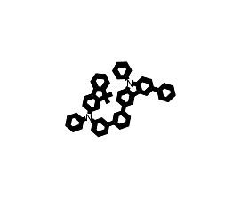 CC1(C)c2ccccc2-c2ccc(N(c3ccccc3)c3cccc(-c4cccc(-c5ccc6c(c5)c5cc(-c7ccccc7)ccc5n6-c5ccccc5)c4)c3)cc21